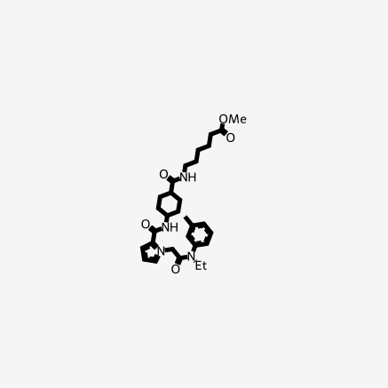 CCN(C(=O)Cn1cccc1C(=O)NC1CCC(C(=O)NCCCCCC(=O)OC)CC1)c1cccc(C)c1